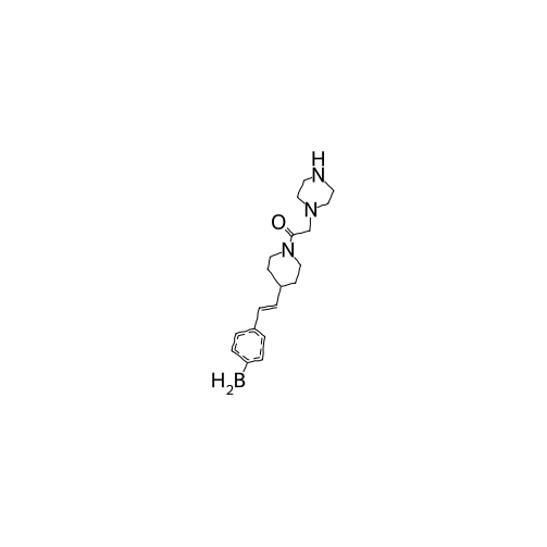 Bc1ccc(/C=C/C2CCN(C(=O)CN3CCNCC3)CC2)cc1